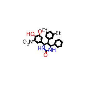 CCOc1cc(C2NC(=O)NC(c3ccccc3)=C2c2cccc(CC)c2)cc([N+](=O)[O-])c1O